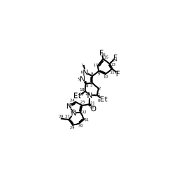 CCC1Cc2c(nn(C)c2-c2cc(F)c(F)c(F)c2)C(CC)N1C(=O)c1cnn2c(C)cccc12